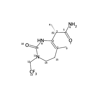 CC1=C([C@H](C)C(N)=O)NC(=O)N(CC(F)(F)F)CC1